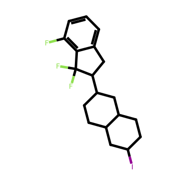 Fc1cccc2c1C(F)(F)C(C1CCC3CC(I)CCC3C1)C2